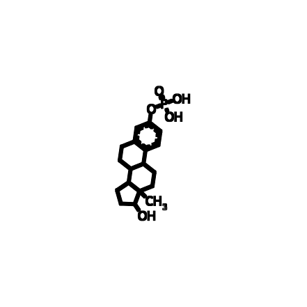 CC12CCC3c4ccc(OP(=O)(O)O)cc4CCC3C1CCC2O